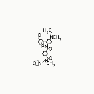 CCCN(C)c1ccc(NC(=O)c2cccc(C(=O)N(C)CCN3CCOCC3)c2)c(-c2cc(C=O)ccn2)c1